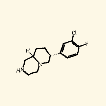 Fc1ccc([C@H]2CC[C@@H]3CNCCN3C2)cc1Cl